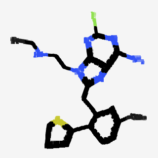 COc1ccc(-c2cccs2)c(Cc2nc3c(N)nc(F)nc3n2CCNCC(C)C)c1